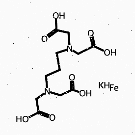 O=C(O)CN(CCCN(CC(=O)O)CC(=O)O)CC(=O)O.[Fe].[KH]